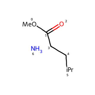 COC(=O)CCC(C)C.N